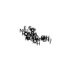 Cn1c(-c2ccnn2-c2ccc(C#N)cc2)c(C(=O)NC2(C(=O)NCC[N+](C)(C)C)CCCC2)c(=O)n1-c1cccc(C(F)(F)F)c1